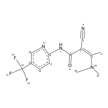 CC(=C(C#N)C(=O)Nc1ccc(C(F)(F)F)cn1)N(C)C